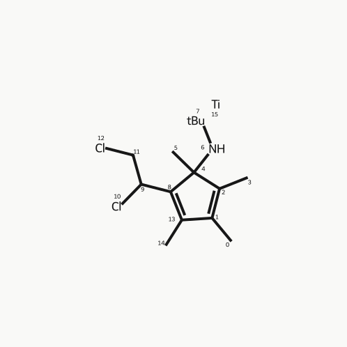 CC1=C(C)C(C)(NC(C)(C)C)C(C(Cl)CCl)=C1C.[Ti]